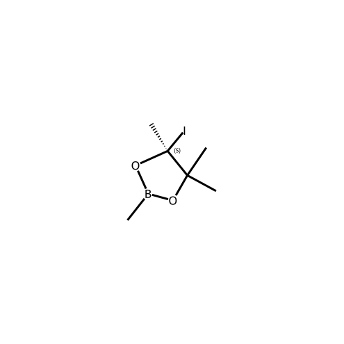 CB1OC(C)(C)[C@](C)(I)O1